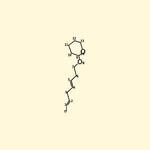 CC=CCC=CCCOC1CCCCO1